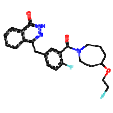 O=C(c1cc(Cc2n[nH]c(=O)c3ccccc23)ccc1F)N1CCCC(OCCF)CC1